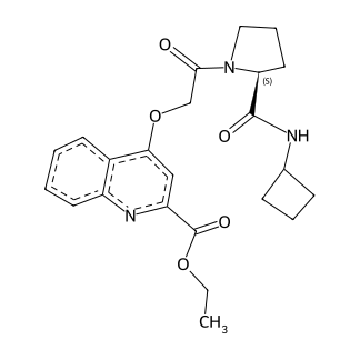 CCOC(=O)c1cc(OCC(=O)N2CCC[C@H]2C(=O)NC2CCC2)c2ccccc2n1